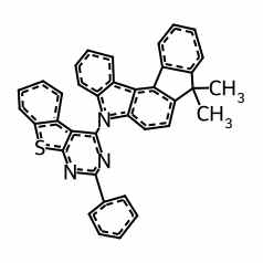 CC1(C)c2ccccc2-c2c1ccc1c2c2ccccc2n1-c1nc(-c2ccccc2)nc2sc3ccccc3c12